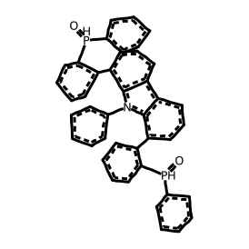 O=[PH](c1ccccc1)c1ccccc1-c1cccc2c3cccc(-c4ccccc4[PH](=O)c4ccccc4)c3n(-c3ccccc3)c12